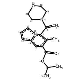 C=C(c1c(C)c(C(=O)OC(C)C)cc2cccn12)N1CCOCC1